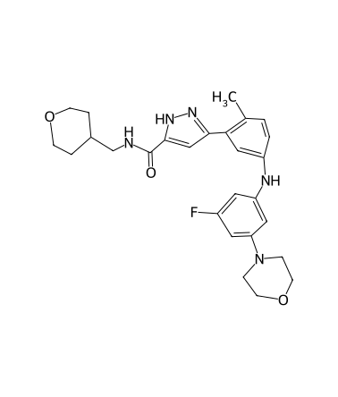 Cc1ccc(Nc2cc(F)cc(N3CCOCC3)c2)cc1-c1cc(C(=O)NCC2CCOCC2)[nH]n1